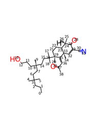 CCCC(C)(C)CC[C@](C)(CCCO)CCC(C)(C)[C@]1(C)CC[C@H]2C(C)(C)C(=O)C(C#N)=C[C@]2(C)/C1=C/C(C)=O